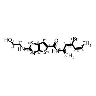 C=C(/C=C(Br)\C=C/C)NC(=O)c1cc2sc(NCCO)nc2s1